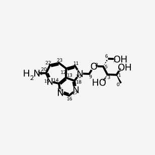 C[C@H](O)[C@H](O)[C@@H](CO)OCn1cc2c3c(ncnc31)N=C(N)C=C2